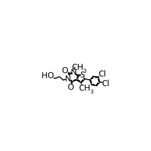 Cc1c(-c2ccc(Cl)c(Cl)c2)sc2c1c(=O)n(CCCO)c(=O)n2C